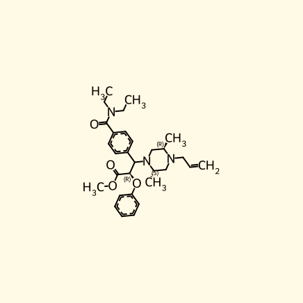 C=CCN1C[C@H](C)N(C(c2ccc(C(=O)N(CC)CC)cc2)[C@@H](Oc2ccccc2)C(=O)OC)C[C@H]1C